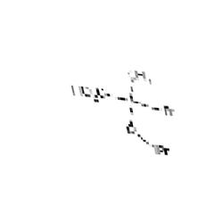 CC(C)OC(C)(C(=O)O)C(C)C